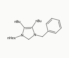 CCCCCCN1CN(Cc2ccccc2)C(CCCC)=C1CCCC